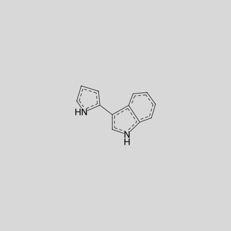 c1c[nH]c(-c2c[nH]c3ccccc23)c1